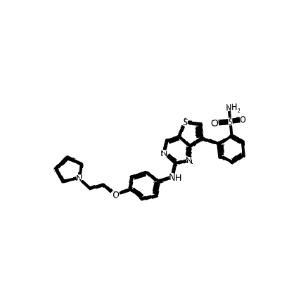 NS(=O)(=O)c1ccccc1-c1csc2cnc(Nc3ccc(OCCN4CCCC4)cc3)nc12